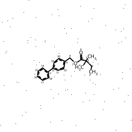 CCC(C)(C)C(=O)OCc1ccc(-c2ccccc2)cc1